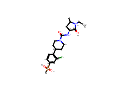 CC1C[C@H](NC(=O)N2CCC(c3ccc(S(C)(=O)=O)cc3F)CC2)C(=O)N1CC#N